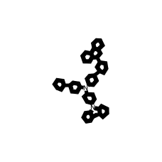 c1ccc(-c2ccc(N(c3ccc(-c4cccc(-c5cc6ccccc6c6ccccc56)c4)cc3)c3ccc(-n4c5ccccc5c5ccccc54)cc3)cc2)cc1